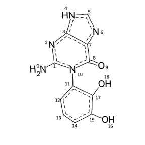 Nc1nc2[nH]cnc2c(=O)n1-c1cccc(O)c1O